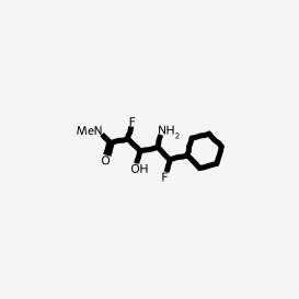 CNC(=O)C(F)C(O)C(N)C(F)C1CCCCC1